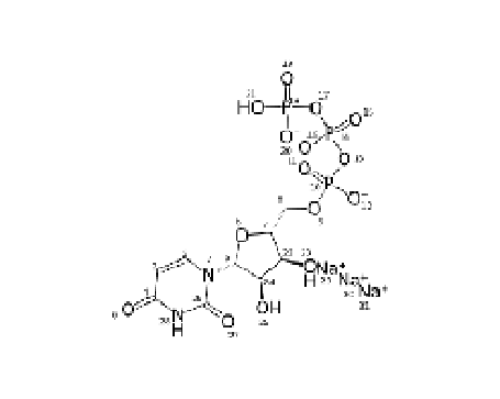 O=c1ccn([C@@H]2O[C@H](COP(=O)([O-])OP(=O)([O-])OP(=O)([O-])O)[C@@H](O)[C@H]2O)c(=O)[nH]1.[Na+].[Na+].[Na+]